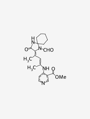 COC(=O)c1cnccc1N/C(C)=C/C(C)=C1/C(=O)NC2(CCCCC2)N1C=O